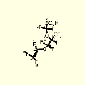 O=S(=O)(O)C(F)(F)OC(F)(C(F)(F)F)C(F)(F)OC(F)=C(F)F